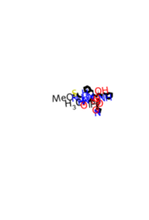 COc1nc(CN(C)C(=O)N[C@H](C(=O)N[C@@H](Cc2ccccc2)C[C@H](O)[C@H](Cc2ccccc2)NC(=O)OCc2ccno2)C(C)C)cs1